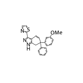 COc1cccc(C2(c3ccccc3)C=Cc3c(-c4nccs4)n[nH]c3C2)c1